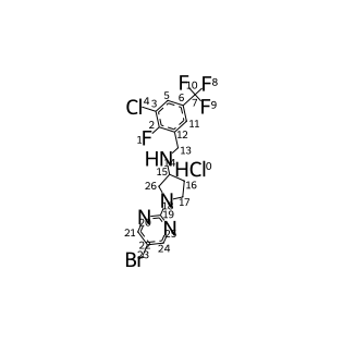 Cl.Fc1c(Cl)cc(C(F)(F)F)cc1CNC1CCN(c2ncc(Br)cn2)C1